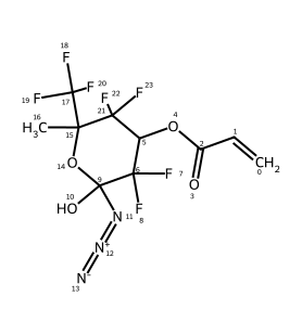 C=CC(=O)OC1C(F)(F)C(O)(N=[N+]=[N-])OC(C)(C(F)(F)F)C1(F)F